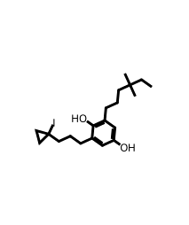 CCC(C)(C)CCCc1cc(O)cc(CCCC2(I)CC2)c1O